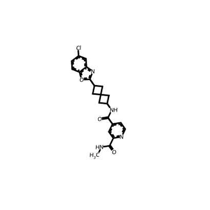 CNC(=O)c1cc(C(=O)NC2CC3(C2)CC(c2nc4cc(Cl)ccc4o2)C3)ccn1